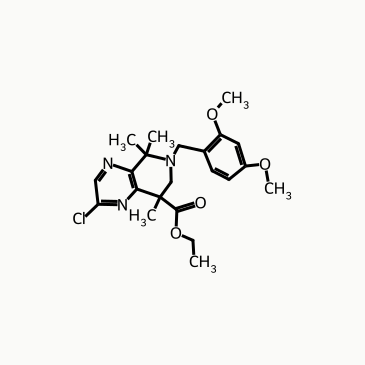 CCOC(=O)C1(C)CN(Cc2ccc(OC)cc2OC)C(C)(C)c2ncc(Cl)nc21